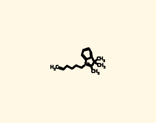 C=CCCCC[N+]1=C(C)C(C)(C)c2ccccc21